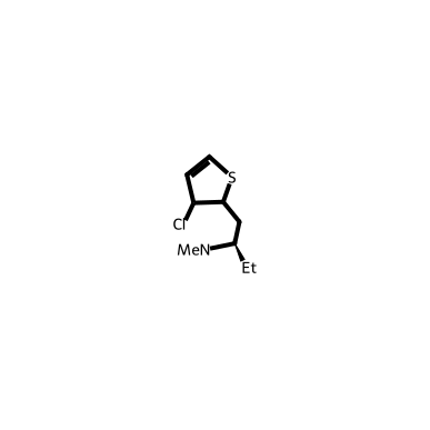 CC[C@H](CC1SC=CC1Cl)NC